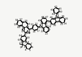 CC1(C)c2ccccc2-c2cc(-c3nc(-c4ccc(-n5c6ccccc6c6c(-c7ccc8c9ccccc9n(-c9ccccc9)c8c7)cccc65)cc4)c4ccc5ccccc5c4n3)ccc21